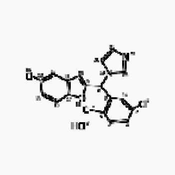 Cl.Clc1ccc(Cl)c(C(c2cc3cc(Cl)ccc3o2)n2ccnc2)c1